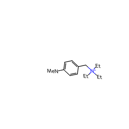 CC[N+](CC)(CC)Cc1ccc(NC)cc1